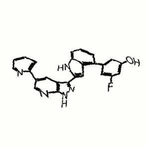 Oc1cc(F)cc(-c2cccc3[nH]c(-c4n[nH]c5ncc(-c6ccccn6)cc45)cc23)c1